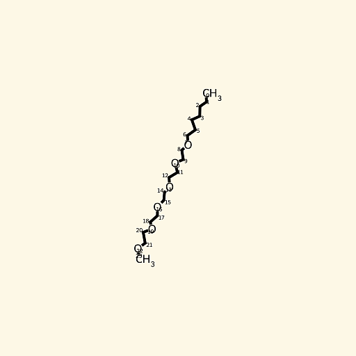 CCCCCCCOCCOCCOCCOCCOCCOC